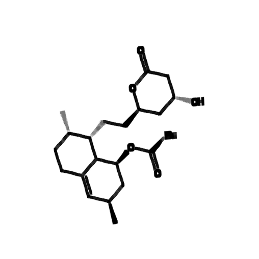 CC[C@H](C)C(=O)O[C@H]1C[C@@H](C)C=C2CC[C@H](C)[C@H](CC[C@@H]3C[C@@H](O)CC(=O)O3)C21